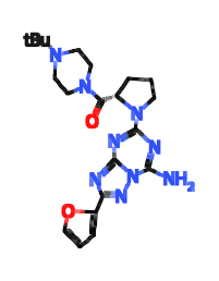 CC(C)(C)N1CCN(C(=O)[C@@H]2CCCN2c2nc(N)n3nc(-c4ccco4)nc3n2)CC1